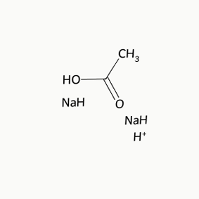 CC(=O)O.[H+].[NaH].[NaH]